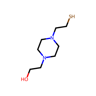 OCCN1CCN(CCS)CC1